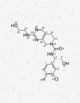 O=C(N[C@H](CO)c1ccc(F)c(Cl)c1)N1CCc2cnc(NCCO)nc2C1